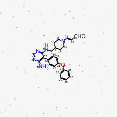 Nc1ncnc(NCC2CCN(C=CC=O)CC2)c1-c1ccc(Oc2ccccc2)cc1